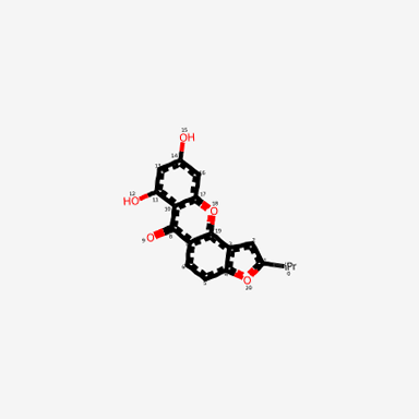 CC(C)c1cc2c(ccc3c(=O)c4c(O)cc(O)cc4oc32)o1